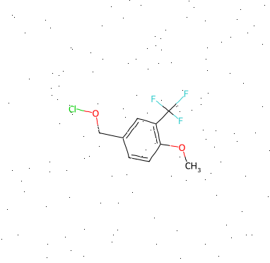 COc1ccc(COCl)cc1C(F)(F)F